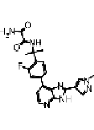 Cn1cc(-c2nc3c(-c4ccc(C(C)(C)NC(=O)C(N)=O)c(F)c4)ccnc3[nH]2)cn1